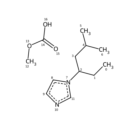 CCC(CC(C)C)n1ccnc1.COC(=O)O